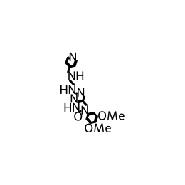 COc1cc(OC)cc(N2Cc3cnc(NCCNCc4ccncc4)nc3NC2=O)c1